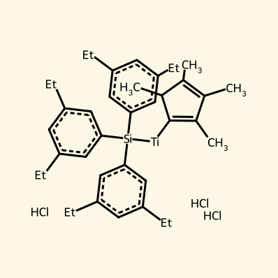 CCc1cc(CC)cc([Si]([Ti][C]2=C(C)C(C)=C(C)C2C)(c2cc(CC)cc(CC)c2)c2cc(CC)cc(CC)c2)c1.Cl.Cl.Cl